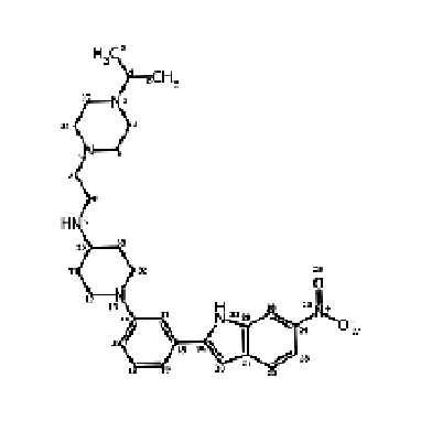 CC(C)N1CCN(CCNC2CCN(c3cccc(-c4cc5ccc([N+](=O)[O-])cc5[nH]4)c3)CC2)CC1